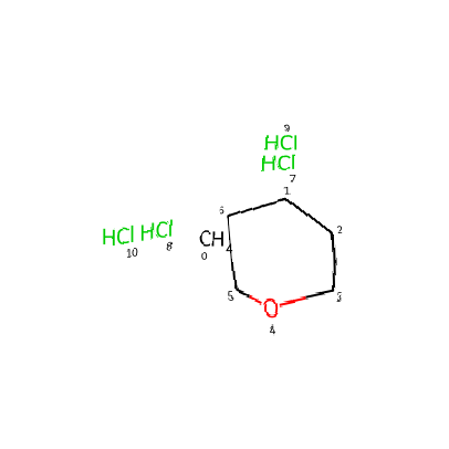 C.C1CCOCC1.Cl.Cl.Cl.Cl